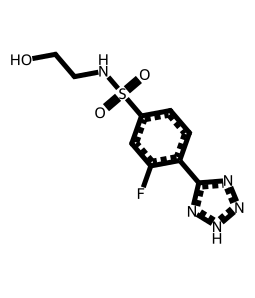 O=S(=O)(NCCO)c1ccc(-c2nn[nH]n2)c(F)c1